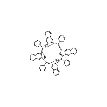 c1ccc(-c2c3nc(c(-c4ccccc4)c4[nH]c(c(-c5ccccc5)c5nc(c(-c6ccccc6)c6[nH]c2c2cc7ccccc7cc62)-c2cc6ccccc6cc2-5)c2cc5ccccc5cc42)-c2cc4ccccc4cc2-3)cc1